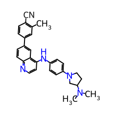 Cc1cc(-c2ccc3nccc(Nc4ccc(N5CCC(N(C)C)C5)cc4)c3c2)ccc1C#N